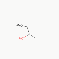 [CH2]OCC(C)O